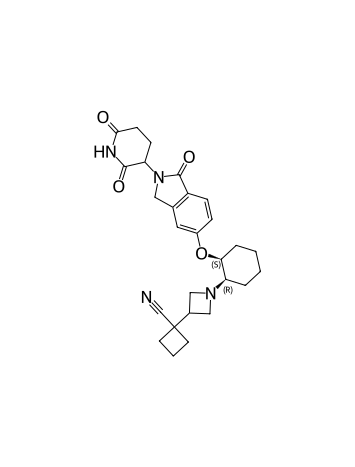 N#CC1(C2CN([C@@H]3CCCC[C@@H]3Oc3ccc4c(c3)CN(C3CCC(=O)NC3=O)C4=O)C2)CCC1